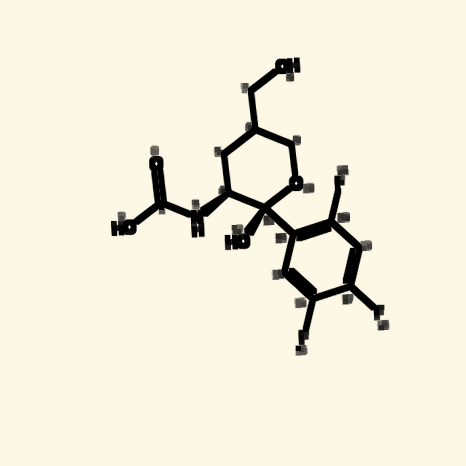 O=C(O)N[C@H]1CC(CO)CO[C@]1(O)c1cc(F)c(F)cc1F